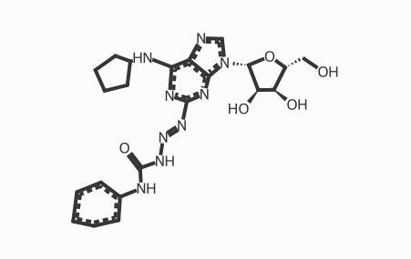 O=C(N/N=N/c1nc(NC2CCCC2)c2ncn([C@@H]3O[C@H](CO)[C@@H](O)[C@H]3O)c2n1)Nc1ccccc1